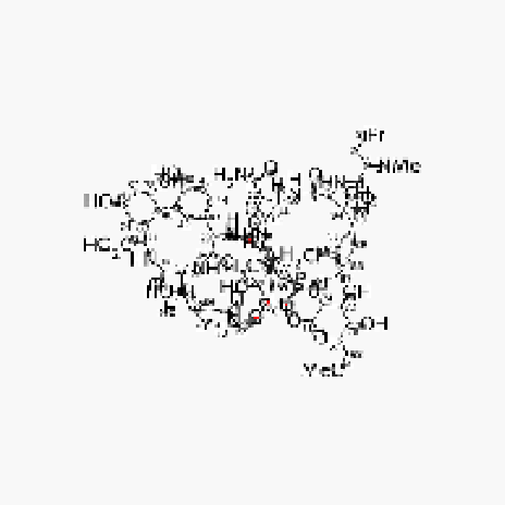 CN[C@H](CC(C)C)C(=O)NC1C(=O)N[C@@H](CC(N)=O)C(=O)N[C@H]2C(=O)N[C@H]3C(=O)N[C@H](C(=O)N[C@@H](C(=O)O)c4cc(O)cc(O)c4-c4cc3ccc4O)[C@H](O)c3ccc(c(Cl)c3)Oc3cc2cc(c3O[C@@H]2O[C@H](COC)[C@@H](O)[C@H](O)[C@H]2O[C@H]2C[C@](C)(N)[C@H](O)[C@H](C)O2)Oc2ccc(cc2Cl)[C@H]1C